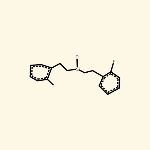 [O-][S+](CCc1ccccc1F)CCc1ccccc1F